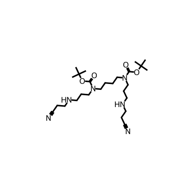 CC(C)(C)OC(=O)N(CCCCN(CCCNCCC#N)C(=O)OC(C)(C)C)CCCNCCC#N